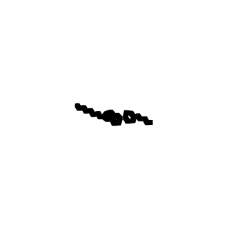 CCCCCCCCc1ccc2cc([C@H]3CC[C@H](CCCCC)CC3)ccc2c1